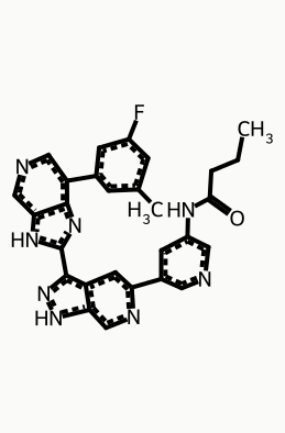 CCCC(=O)Nc1cncc(-c2cc3c(-c4nc5c(-c6cc(C)cc(F)c6)cncc5[nH]4)n[nH]c3cn2)c1